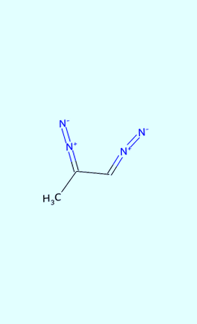 CC(C=[N+]=[N-])=[N+]=[N-]